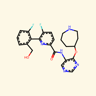 O=C(Nc1cncnc1OC1CCCNCC1)c1ccc(F)c(-c2c(F)cccc2CO)n1